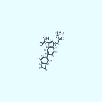 CC(C)(C)OC(=O)Cn1cc(C(N)=O)c2cc(-c3ccc4c(c3)CC4)ccc21